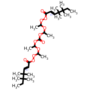 CCC(C)(C)C(C)(C)/C=C/C(=O)OOC(C)OC(C)OC(=O)OC(C)OC(C)OOC(=O)/C=C/C(C)(C)C(C)(C)CC